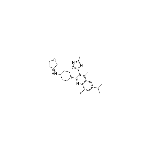 Cc1noc(-c2c(N3CCC(N[C@H]4CCOC4)CC3)nc3c(F)cc(C(C)C)cc3c2C)n1